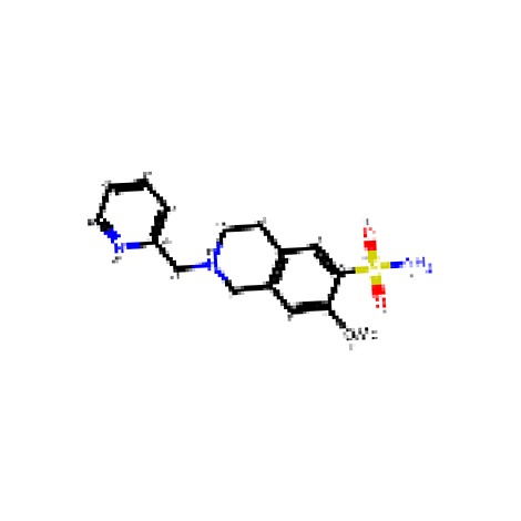 COc1cc2c(cc1S(N)(=O)=O)CCN(Cc1ccccn1)C2